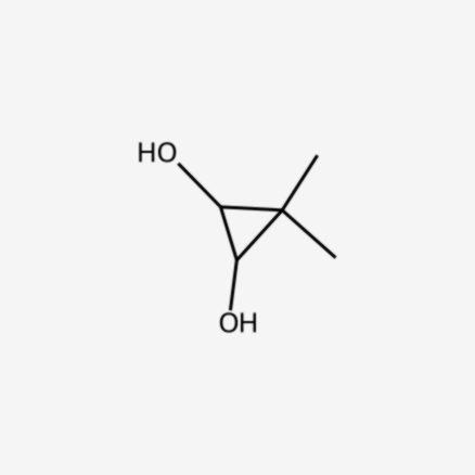 CC1(C)C(O)C1O